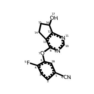 N#Cc1ccc(F)c(Oc2ncnc3c2CCC3O)c1